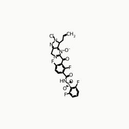 C=CCC1C2=[N+]([O-])C(C(=O)c3c(F)ccc(C(=O)NS(=O)(=O)c4c(F)cccc4F)c3F)=NCC2=NN1Cl